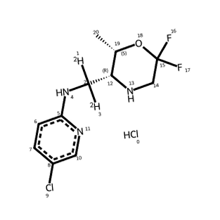 Cl.[2H]C([2H])(Nc1ccc(Cl)cn1)[C@H]1NCC(F)(F)O[C@H]1C